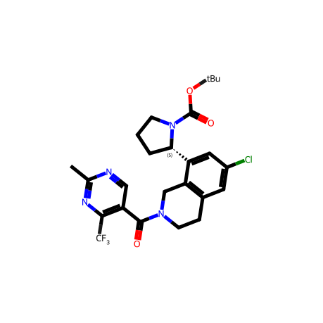 Cc1ncc(C(=O)N2CCc3cc(Cl)cc([C@@H]4CCCN4C(=O)OC(C)(C)C)c3C2)c(C(F)(F)F)n1